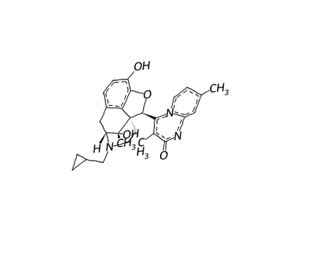 Cc1ccn2c([C@@H]3Oc4c(O)ccc5c4[C@@]34CCN(CC3CC3)[C@H](C5)[C@@]4(C)O)c(C)c(=O)nc2c1